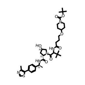 Cc1ncsc1-c1ccc([C@H](C)NC(=O)[C@@H]2C[C@@H](O)CN2C(=O)C(NC(=O)CCCOC2CCN(C(=O)OC(C)(C)C)CC2)C(C)(C)C)cc1